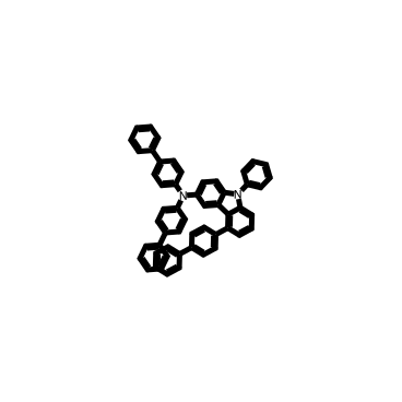 c1ccc(-c2ccc(-c3cccc4c3c3cc(N(c5ccc(-c6ccccc6)cc5)c5ccc(-c6ccccc6)cc5)ccc3n4-c3ccccc3)cc2)cc1